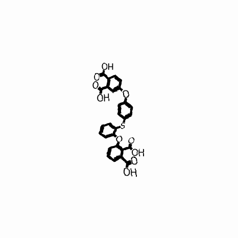 O=C(O)c1ccc(Oc2ccc(Sc3ccccc3Oc3cccc(C(=O)O)c3C(=O)O)cc2)cc1C(=O)O